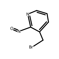 O=Nc1ncccc1CBr